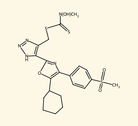 CN(O)C(=S)SCc1nn[nH]c1-c1nc(-c2ccc(S(C)(=O)=O)cc2)c(C2CCCCC2)o1